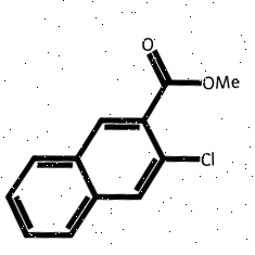 COC(=O)c1cc2ccccc2cc1Cl